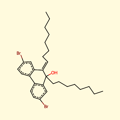 CCCCCCC/C=C1\c2cc(Br)ccc2-c2ccc(Br)cc2C1(O)CCCCCCCC